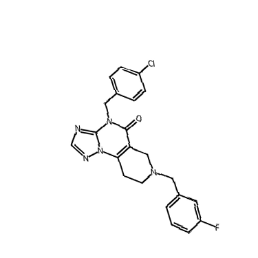 O=c1c2c(n3ncnc3n1Cc1ccc(Cl)cc1)CCN(Cc1cccc(F)c1)C2